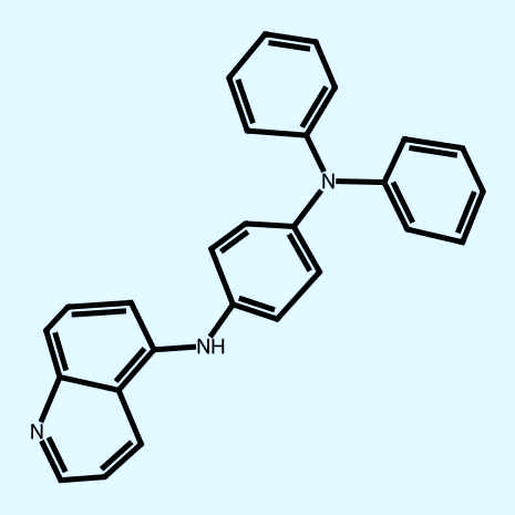 c1ccc(N(c2ccccc2)c2ccc(Nc3cccc4ncccc34)cc2)cc1